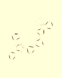 c1ccc(-c2nc(-c3ccccc3)nc(-c3ccc4sc5ccc(-c6ccc7c(c6)-c6ccccc6C76CCCCC6)cc5c4c3)n2)cc1